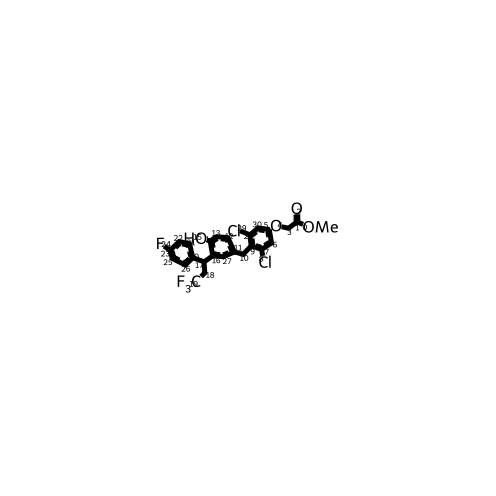 COC(=O)COc1cc(Cl)c(Cc2ccc(O)c(C(CC(F)(F)F)c3ccc(F)cc3)c2)c(Cl)c1